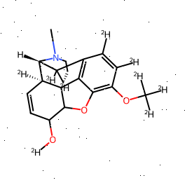 [2H]OC1C=C[C@@]2([2H])[C@@H]3N(C)CC[C@@]24c2c(c(OC([2H])([2H])[2H])c([2H])c([2H])c2C3([2H])[2H])OC14